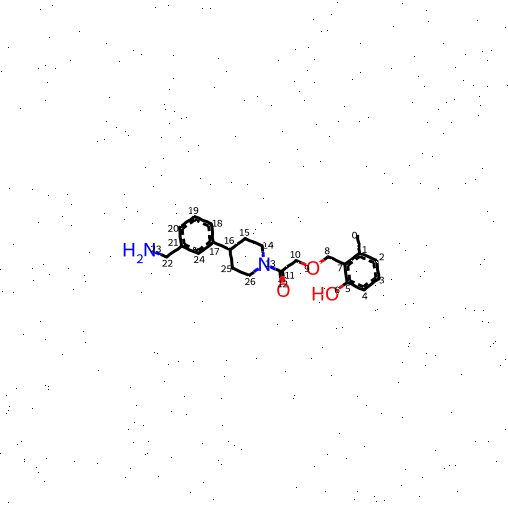 Cc1cccc(O)c1COCC(=O)N1CCC(c2cccc(CN)c2)CC1